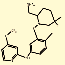 CC(=O)NCC1CCC(F)(F)CN1Sc1cc(Nc2cc(OC(F)(F)F)ccn2)ccc1C